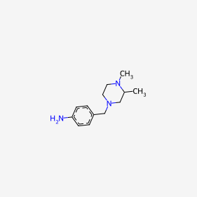 CC1CN(Cc2ccc(N)cc2)CCN1C